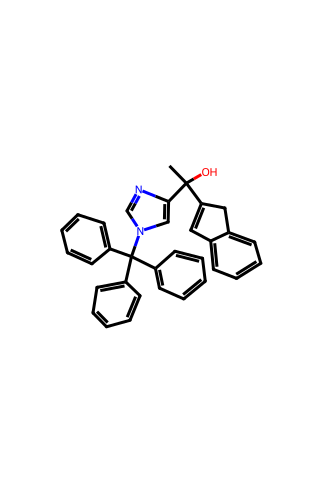 CC(O)(C1=Cc2ccccc2C1)c1cn(C(c2ccccc2)(c2ccccc2)c2ccccc2)cn1